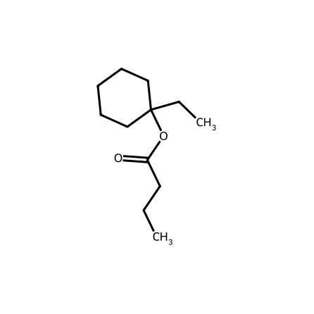 CCCC(=O)OC1(CC)CCCCC1